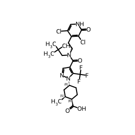 C[C@H]1C[C@H](n2ncc(C(=O)N(CCc3c(Cl)c[nH]c(=O)c3Cl)CC(C)(C)C)c2C(F)(F)F)CC[C@H]1C(=O)O